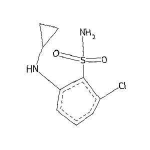 NS(=O)(=O)c1c(Cl)cccc1NC1CC1